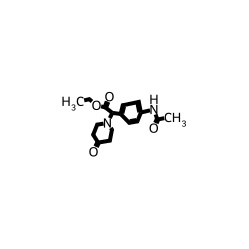 CCOC(=O)C(c1ccc(NC(C)=O)cc1)N1CCC(=O)CC1